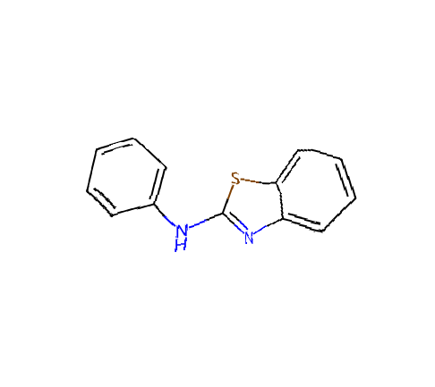 c1ccc(Nc2nc3ccccc3s2)cc1